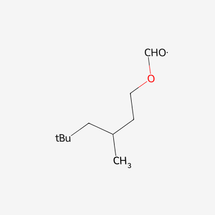 CC(CCO[C]=O)CC(C)(C)C